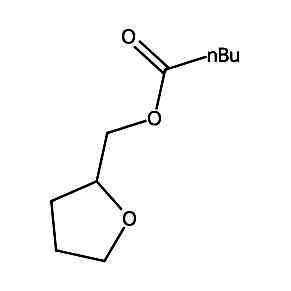 CCCCC(=O)OCC1CCCO1